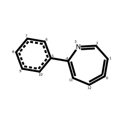 C1=CC=NC(c2ccccc2)=CC=1